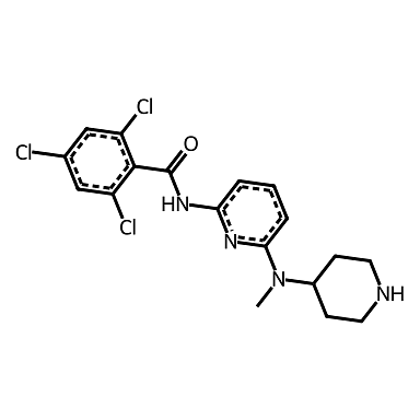 CN(c1cccc(NC(=O)c2c(Cl)cc(Cl)cc2Cl)n1)C1CCNCC1